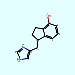 Oc1cccc2c1CCC2Cc1c[nH]cn1